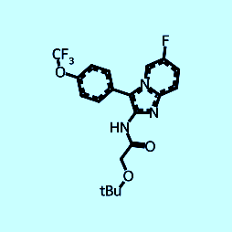 CC(C)(C)OCC(=O)Nc1nc2ccc(F)cn2c1-c1ccc(OC(F)(F)F)cc1